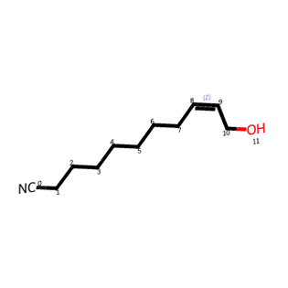 N#CCCCCCCC/C=C\CO